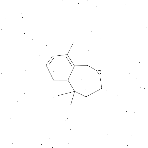 Cc1cccc2c1COCCC2(C)C